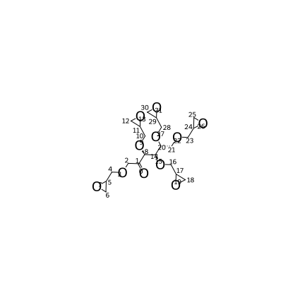 O=C(COCC1CO1)[C@@H](OCC1CO1)[C@H](OCC1CO1)[C@@H](COCC1CO1)OCC1CO1